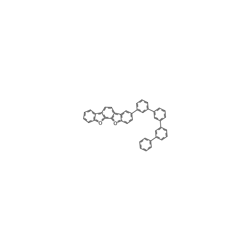 c1ccc(-c2cccc(-c3cccc(-c4cccc(-c5ccc6oc7c(ccc8c9ccccc9oc87)c6c5)c4)c3)c2)cc1